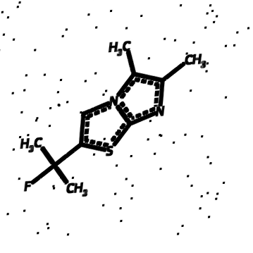 Cc1nc2sc(C(C)(C)F)cn2c1C